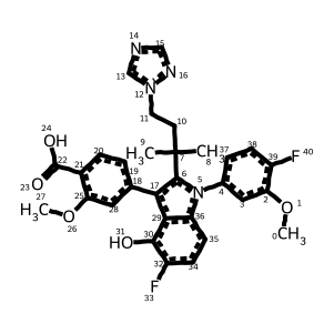 COc1cc(-n2c(C(C)(C)CCn3cncn3)c(-c3ccc(C(=O)O)c(OC)c3)c3c(O)c(F)ccc32)ccc1F